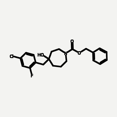 O=C(OCc1ccccc1)N1CCCC(O)(Cc2ccc(Cl)cc2F)CC1